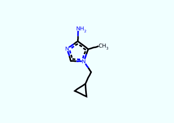 Cc1c(N)ncn1CC1CC1